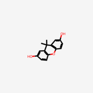 CC1(C)c2cc(O)ccc2Oc2ccc(O)cc21